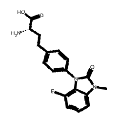 Cn1c(=O)n(-c2ccc(CC[C@H](N)C(=O)O)cc2)c2c(F)cccc21